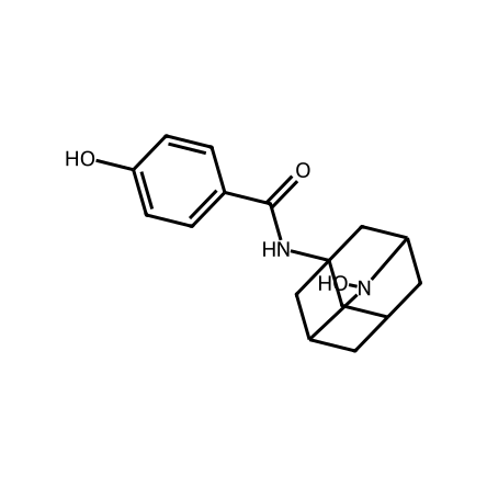 O=C(NC12CC3CC(C1)N(O)C(C3)C2)c1ccc(O)cc1